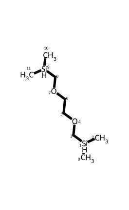 C[SiH](C)COCCOC[SiH](C)C